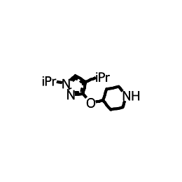 CC(C)c1cn(C(C)C)nc1OC1CCNCC1